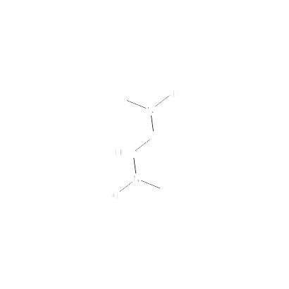 CCC(C)N(C)[SiH2][SiH2]N(C)C(C)CC